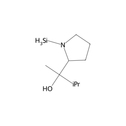 CC(C)C(C)(O)C1CCCN1[SiH3]